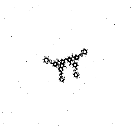 CCc1cc(Cc2cc(CC)c(N(c3ccc(COC4CCCCO4)cc3)c3ccc(COC4CCCCO4)cc3)c(CC)c2)cc(CC)c1N(c1ccc(COC2CCCCO2)cc1)c1ccc(COC2CCCCO2)cc1